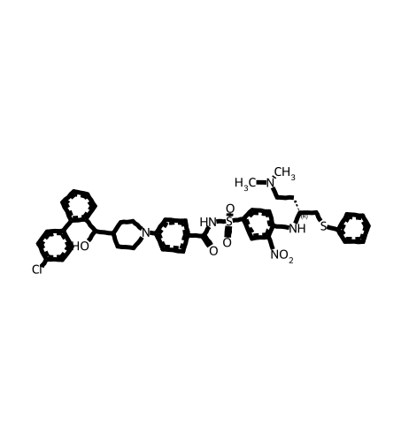 CN(C)CC[C@H](CSc1ccccc1)Nc1ccc(S(=O)(=O)NC(=O)c2ccc(N3CCC(C(O)c4ccccc4-c4ccc(Cl)cc4)CC3)cc2)cc1[N+](=O)[O-]